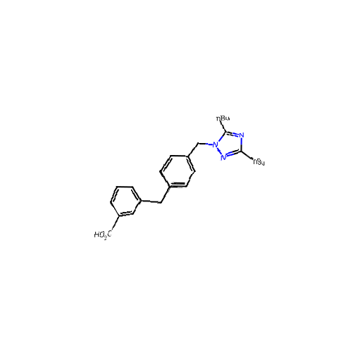 CCCCc1nc(CCCC)n(Cc2ccc(Cc3cccc(C(=O)O)c3)cc2)n1